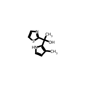 Cc1cc[nH]c1C(C)(O)c1nccs1